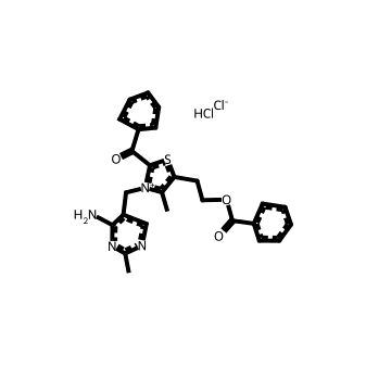 Cc1ncc(C[n+]2c(C(=O)c3ccccc3)sc(CCOC(=O)c3ccccc3)c2C)c(N)n1.Cl.[Cl-]